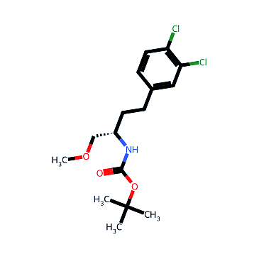 COC[C@H](CCc1ccc(Cl)c(Cl)c1)NC(=O)OC(C)(C)C